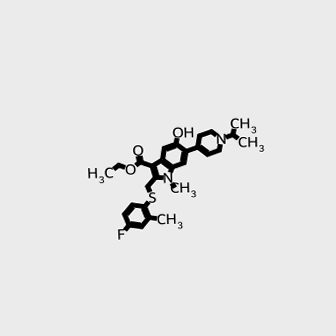 CCOC(=O)c1c(CSc2ccc(F)cc2C)n(C)c2cc(C3=CCN(C(C)C)CC3)c(O)cc12